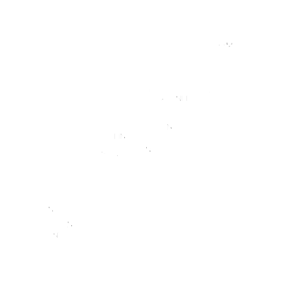 COc1cccc(CNC(=O)c2cc(NC(=O)[C@H]3CCc4cc(-c5nnc[nH]5)ccc43)ncn2)c1